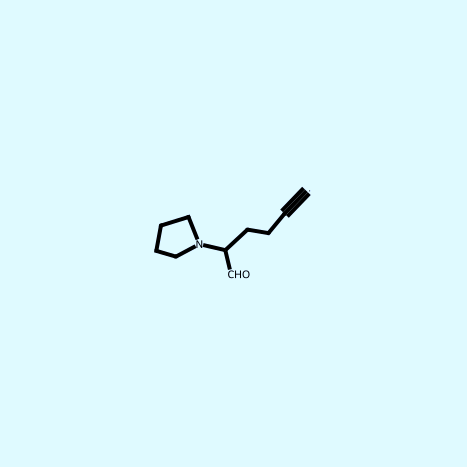 [C]#CCCC(C=O)N1CCCC1